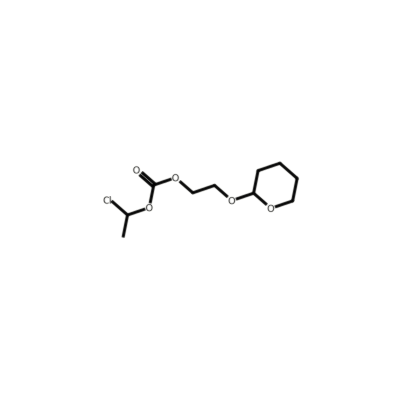 CC(Cl)OC(=O)OCCOC1CCCCO1